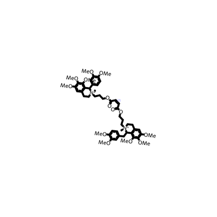 COc1ccc(CC2c3c(cc(OC)c(OC)c3OC)CC[N+]2(C)CCCOC(=O)/C=C\C(=O)OCCC[N+]2(C)CCc3cc(OC)c(OC)c(OC)c3C2c2ccc(OC)c(OC)c2)cc1OC